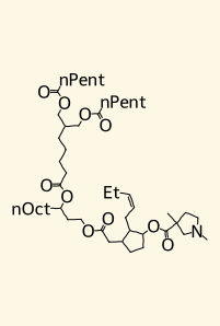 CC/C=C\CC1C(CC(=O)OCCC(CCCCCCCC)OC(=O)CCCCC(COC(=O)CCCCC)COC(=O)CCCCC)CCC1OC(=O)C1(C)CCN(C)C1